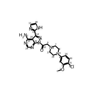 COc1cc(N2CCN(CC(=O)n3nc(-c4ncc[nH]4)c4c(N)ncnc43)CC2)ccc1Cl